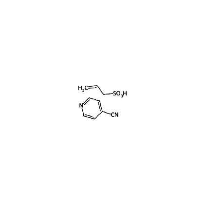 C=CCS(=O)(=O)O.N#Cc1ccncc1